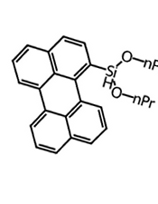 CCCO[SiH](OCCC)c1ccc2cccc3c4cccc5cccc(c1c23)c54